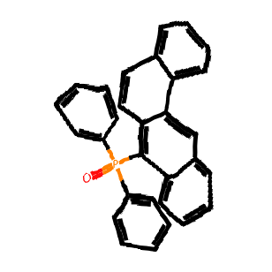 O=P(c1ccccc1)(c1ccccc1)c1c2ccccc2cc2c1ccc1ccccc12